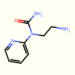 NCCN(C(N)=O)c1ccccn1